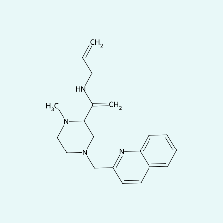 C=CCNC(=C)C1CN(Cc2ccc3ccccc3n2)CCN1C